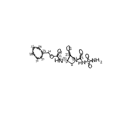 NS(=O)(=O)NC(=O)N1C[C@H](NC(=O)OCc2ccccc2)C1=O